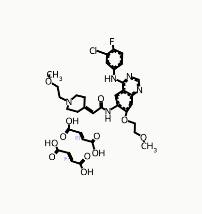 COCCOc1cc2ncnc(Nc3ccc(F)c(Cl)c3)c2cc1NC(=O)C=C1CCN(CCOC)CC1.O=C(O)/C=C/C(=O)O.O=C(O)/C=C/C(=O)O